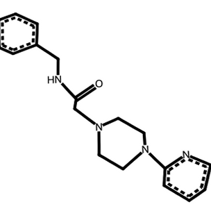 O=C(CN1CCN(c2ccccn2)CC1)NCc1ccccc1